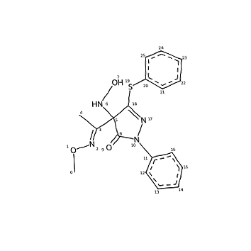 CON=C(C)C1(NO)C(=O)N(c2ccccc2)N=C1Sc1ccccc1